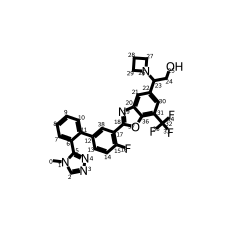 Cn1cnnc1-c1ccccc1-c1ccc(F)c(-c2nc3cc(C(CO)N4CCC4)cc(C(F)(F)F)c3o2)c1